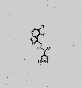 [O-][S+](NCc1ncn2ccc(Cl)c(F)c12)c1cn[nH]c1